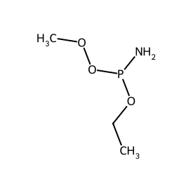 CCOP(N)OOC